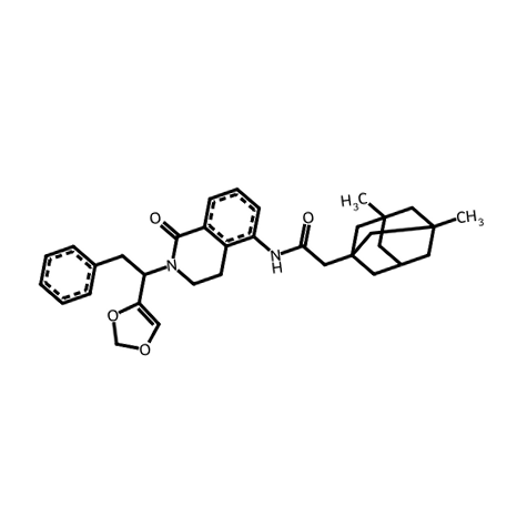 CC12CC3CC(C)(C1)CC(CC(=O)Nc1cccc4c1CCN(C(Cc1ccccc1)C1=COCO1)C4=O)(C3)C2